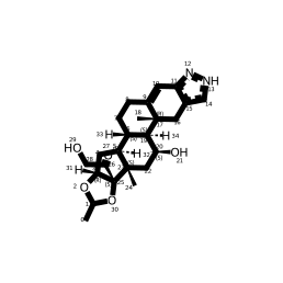 CC1O[C@@H]2C[C@H]3[C@@H]4CCC5=Cc6n[nH]cc6C[C@]5(C)[C@H]4[C@@H](O)C[C@]3(C)[C@]2(C(=O)CO)O1